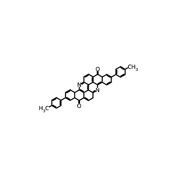 Cc1ccc(C2=CC3C(=O)c4ccc5nc6c7c8c(nc(c4c58)=C3C=C2)CC=C7C(=O)C2C=C(c3ccc(C)cc3)C=CC62)cc1